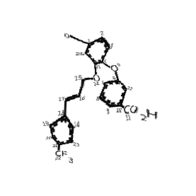 Cc1ccc(Oc2cccc(C(=O)O)c2)c(OCC=Cc2ccc(C(F)(F)F)cc2)c1